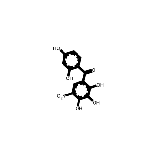 O=C(c1ccc(O)cc1O)c1cc([N+](=O)[O-])c(O)c(O)c1O